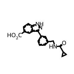 O=C(O)c1ccc2[nH]nc(-c3cccc(CNC(=O)C4CC4)c3)c2c1